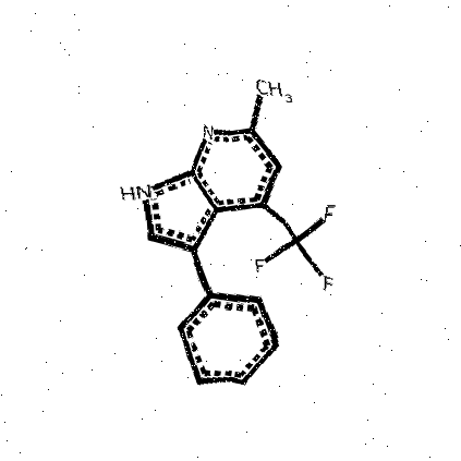 Cc1cc(C(F)(F)F)c2c(-c3ccccc3)c[nH]c2n1